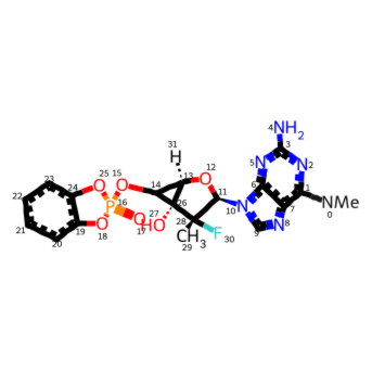 CNc1nc(N)nc2c1ncn2[C@@H]1O[C@@H]2C(OP3(=O)Oc4ccccc4O3)[C@]2(O)[C@@]1(C)F